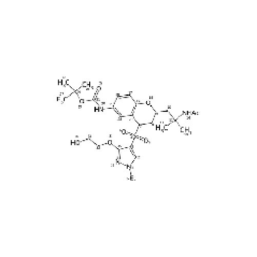 CCn1cc(S(=O)(=O)C2C[C@H](CC(C)(C)NC(C)=O)Oc3ccc(NC(=O)OC(C)(C)C(F)(F)F)cc32)c(OCCO)n1